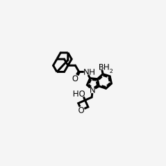 Bc1cccc2c1c(NC(=O)CC13CC4CC(CC(C4)C1)C3)cn2CC1(O)COC1